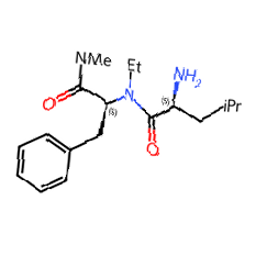 CCN(C(=O)[C@@H](N)CC(C)C)[C@@H](Cc1ccccc1)C(=O)NC